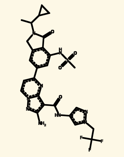 CC(C1CC1)N1Cc2cc(-c3ccn4nc(N)c(C(=O)Nc5cnn(CC(F)(F)F)c5)c4n3)cc(NS(C)(=O)=O)c2C1=O